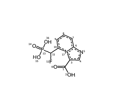 O=C(O)c1cnc2cccc(C(F)P(=O)(O)O)n12